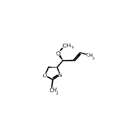 C/C=C/[C@H](OC)[C@@H]1COC(C)=N1